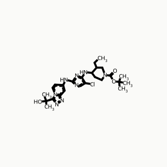 CCC1CN(C(=O)OC(C)(C)C)CCC1Nc1nc(Nc2ccn3c(C(C)(C)O)nnc3c2)ncc1Cl